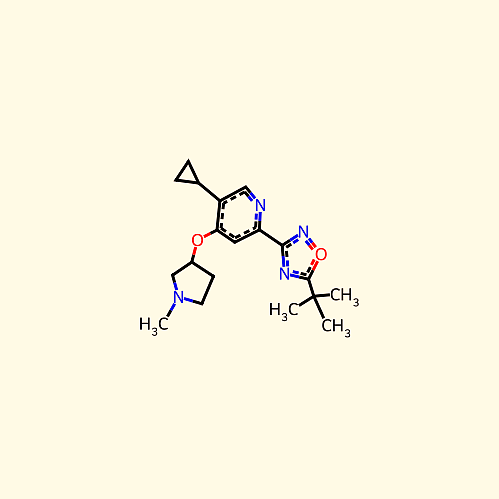 CN1CCC(Oc2cc(-c3noc(C(C)(C)C)n3)ncc2C2CC2)C1